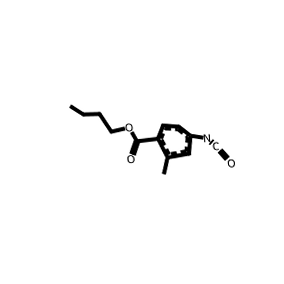 CCCCOC(=O)c1ccc(N=C=O)cc1C